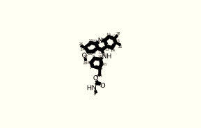 CNC(=O)OCc1cccc(Nc2c3cc(C)c(C)cc3nc3cc(C)c(OC)cc23)c1